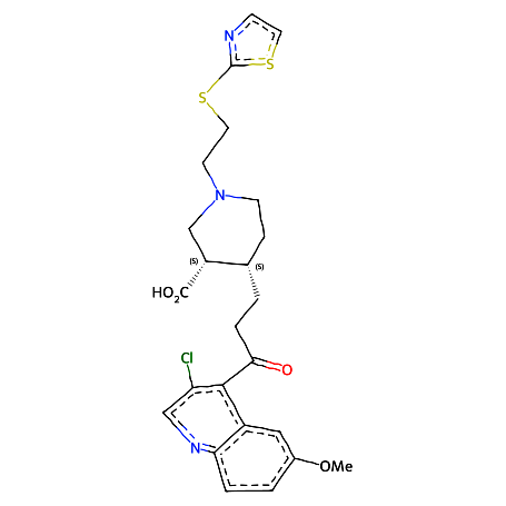 COc1ccc2ncc(Cl)c(C(=O)CC[C@H]3CCN(CCSc4nccs4)C[C@H]3C(=O)O)c2c1